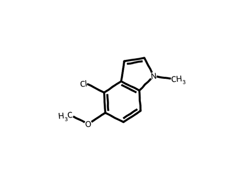 COc1ccc2c(ccn2C)c1Cl